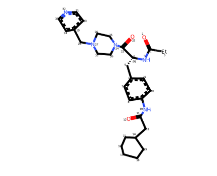 CCC(=O)N[C@H](Cc1ccc(NC(=O)CC2CCCCC2)cc1)C(=O)N1CCN(Cc2ccncc2)CC1